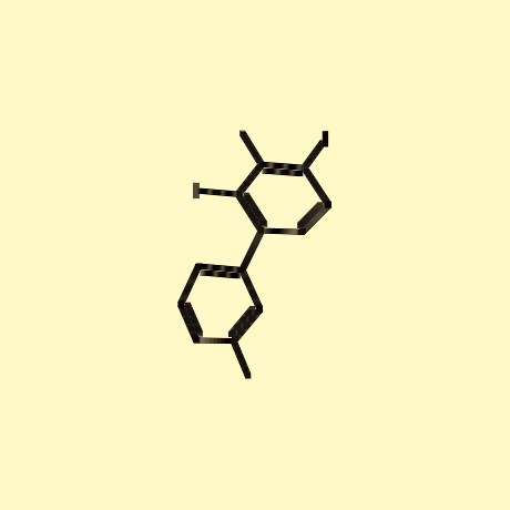 Cc1cccc(-c2ccc(I)c(C)c2I)c1